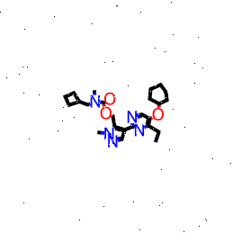 CCc1nc(-c2cnn(C)c2COC(=O)N(C)CC2CCC2)ncc1OC1CCCCC1